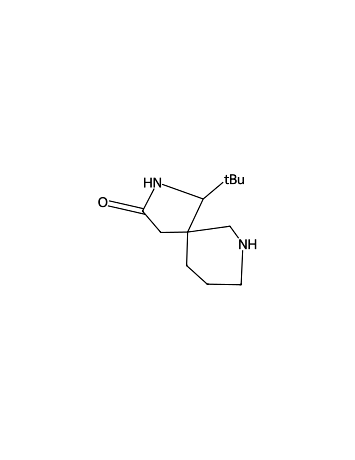 CC(C)(C)C1NC(=O)CC12CCCNC2